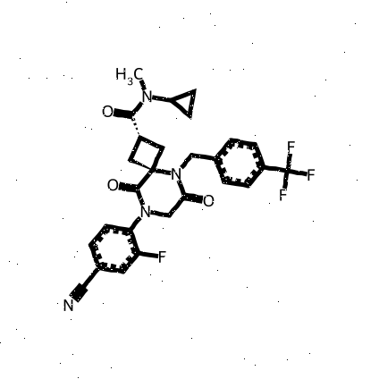 CN(C(=O)[C@H]1C[C@]2(C1)C(=O)N(c1ccc(C#N)cc1F)CC(=O)N2Cc1ccc(C(F)(F)F)cc1)C1CC1